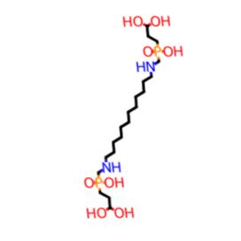 O=P(O)(CCC(O)O)CNCCCCCCCCCCCCNCP(=O)(O)CCC(O)O